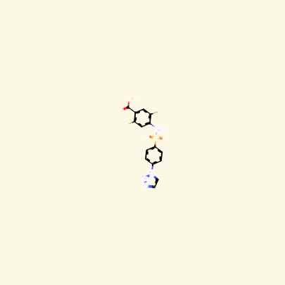 O=C(O)c1cc(F)c(NS(=O)(=O)c2ccc(-n3ccnn3)cc2)cc1F